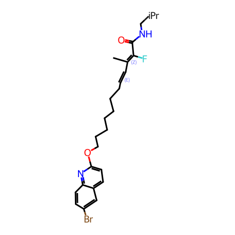 CC(/C=C/CCCCCCCOc1ccc2cc(Br)ccc2n1)=C(/F)C(=O)NCC(C)C